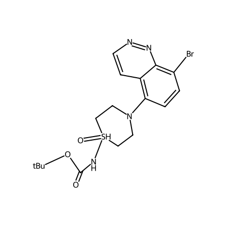 CC(C)(C)OC(=O)N[SH]1(=O)CCN(c2ccc(Br)c3nnccc23)CC1